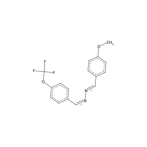 COc1ccc(/C=N/N=C\c2ccc(OC(F)(F)F)cc2)cc1